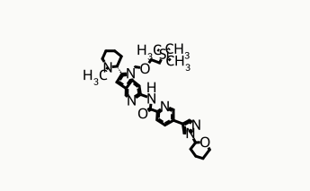 CN1CCCC[C@@H]1c1cc2cnc(NC(=O)c3ccc(-c4cnn(C5CCCCO5)c4)cn3)cc2n1COCC[Si](C)(C)C